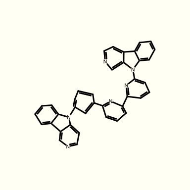 c1cc(-c2cccc(-c3cccc(-n4c5ccccc5c5ccncc54)n3)n2)cc(-n2c3ccccc3c3cnccc32)c1